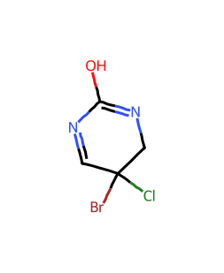 OC1=NCC(Cl)(Br)C=N1